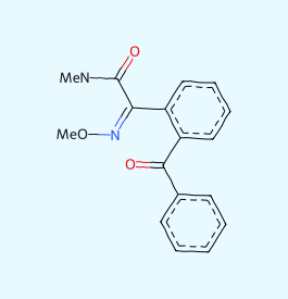 CNC(=O)/C(=N\OC)c1ccccc1C(=O)c1ccccc1